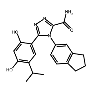 CC(C)c1cc(-c2nnc(C(N)=O)n2-c2ccc3c(c2)CCC3)c(O)cc1O